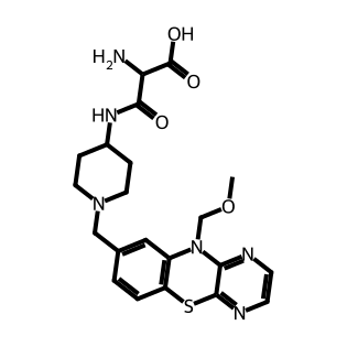 COCN1c2cc(CN3CCC(NC(=O)C(N)C(=O)O)CC3)ccc2Sc2nccnc21